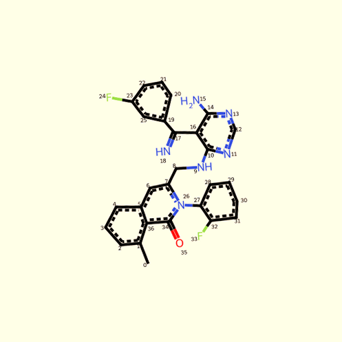 Cc1cccc2cc(CNc3ncnc(N)c3C(=N)c3cccc(F)c3)n(-c3ccccc3F)c(=O)c12